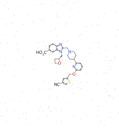 N#Cc1csc(COc2cccc(C3CCN(Cc4nc5ccc(C(=O)O)cc5n4C[C@@H]4CCO4)CC3)n2)c1